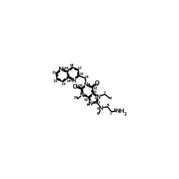 CCn1c(N(C)CCN)nc2c1c(=O)n(Cc1ccc3ncccc3n1)c(=O)n2C